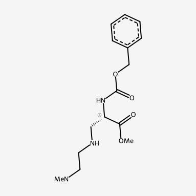 CNCCNC[C@H](NC(=O)OCc1ccccc1)C(=O)OC